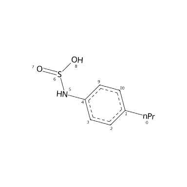 CCCc1ccc(NS(=O)O)cc1